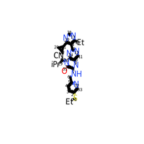 CCSc1ccc(CNc2nc3cnc(-c4c(CC)ncnc4C4CC4)nc3n(C(C#N)C(C)C)c2=O)nc1